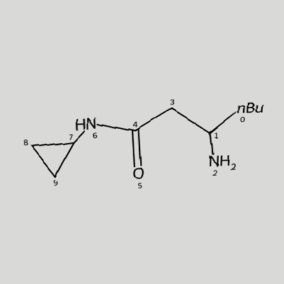 CCCCC(N)CC(=O)NC1CC1